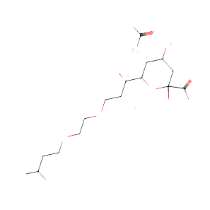 CC(=O)N[C@@H]1C(O)CC(O)(C(=O)O)OC1[C@H](O)[C@H](O)COCCOCCC(C)C